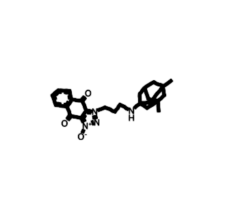 CC12CC3CC(C)(C1)CC(NCCCn1n[n+]([O-])c4c1C(=O)c1ccccc1C4=O)(C3)C2